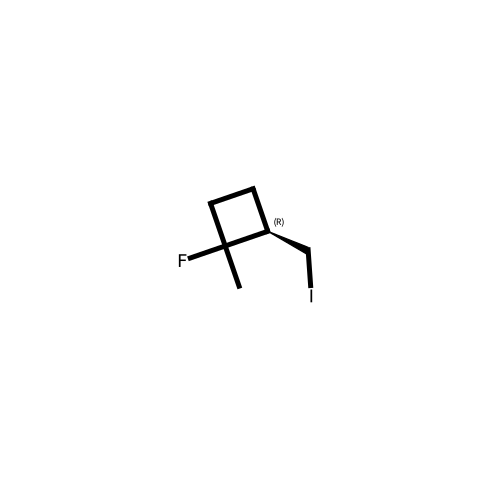 CC1(F)CC[C@H]1CI